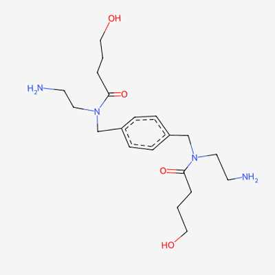 NCCN(Cc1ccc(CN(CCN)C(=O)CCCO)cc1)C(=O)CCCO